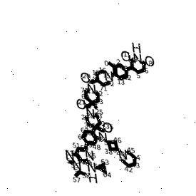 Cc1cc(C2CCC(=O)NC2=O)ccc1N1CCC(C(=O)N2CCC(C)(C(=O)N3CCC4(CC3)C(=O)N([C@H]3C[C@@H](N5CCCCC5)C3)c3cc(-c5cc6ncn(C(C)C)c6c(NC6CC6)n5)ccc34)CC2)CC1